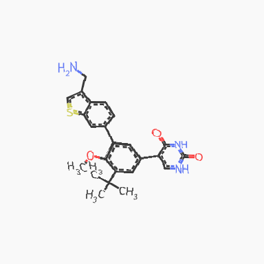 COc1c(-c2ccc3c(CN)csc3c2)cc(-c2c[nH]c(=O)[nH]c2=O)cc1C(C)(C)C